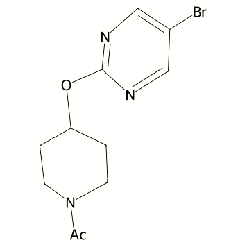 CC(=O)N1CCC(Oc2ncc(Br)cn2)CC1